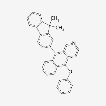 CC1(C)c2ccccc2-c2ccc(-c3c4ccccc4c(Oc4ccccc4)c4ccncc34)cc21